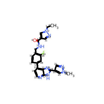 CCn1cc(C(=O)NCc2ccc(-c3ccnc4[nH]c(-c5cnn(C)c5)nc34)cc2F)cn1